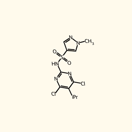 CC(C)c1c(Cl)nc(NS(=O)(=O)c2cnn(C)c2)nc1Cl